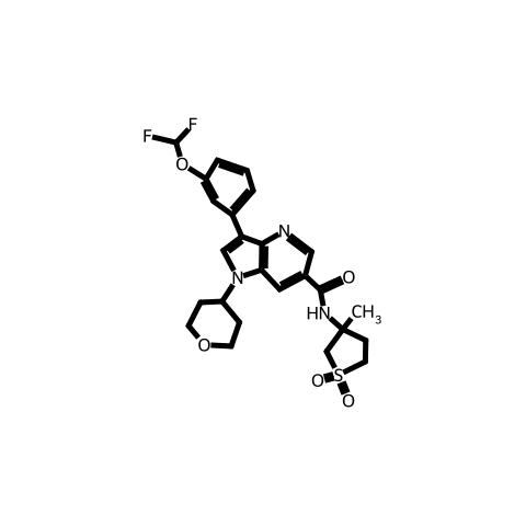 CC1(NC(=O)c2cnc3c(-c4cccc(OC(F)F)c4)cn(C4CCOCC4)c3c2)CCS(=O)(=O)C1